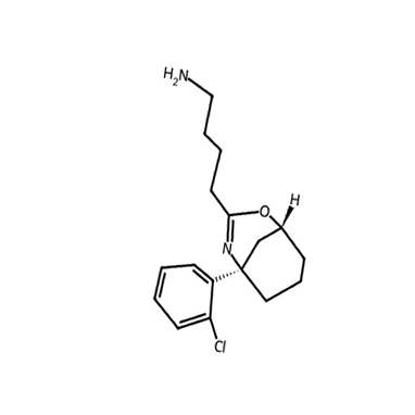 NCCCCC1=N[C@]2(c3ccccc3Cl)CCC[C@H](C2)O1